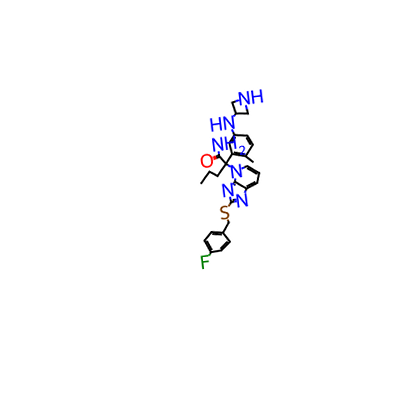 CCCC(C(N)=O)(c1cc(NC2CNC2)ccc1C)n1cccc2nc(SCc3ccc(F)cc3)nc1-2